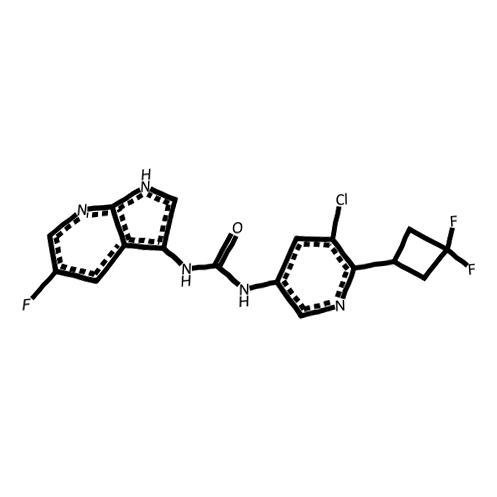 O=C(Nc1cnc(C2CC(F)(F)C2)c(Cl)c1)Nc1c[nH]c2ncc(F)cc12